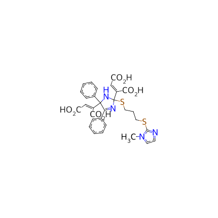 Cn1ccnc1SCCCSC1(C(=CC(=O)O)C(=O)O)N=C(c2ccccc2)C(C(=CC(=O)O)C(=O)O)(c2ccccc2)N1